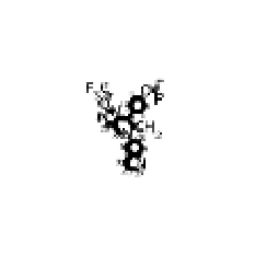 C=C1C(c2ccc(OC(F)F)cc2)=c2nc(OCC(F)(F)F)ncc2=CN1c1ccc2ncccc2c1